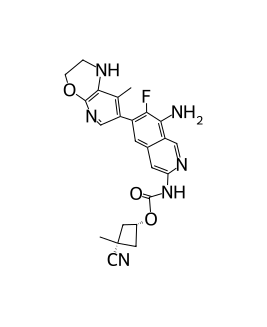 Cc1c(-c2cc3cc(NC(=O)O[C@H]4C[C@@](C)(C#N)C4)ncc3c(N)c2F)cnc2c1NCCO2